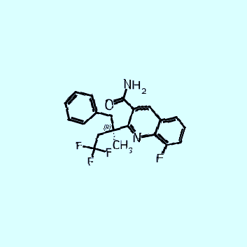 C[C@@](Cc1ccccc1)(CC(F)(F)F)c1nc2c(F)cccc2cc1C(N)=O